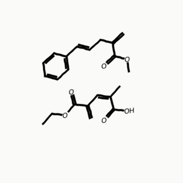 C=C(C=C(C)C(=O)O)C(=O)OCC.C=C(CC=Cc1ccccc1)C(=O)OC